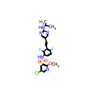 COc1ncc(Cl)cc1S(=O)(=O)Nc1ccc(F)c(C#Cc2cnc(NC(C)C)nc2)c1F